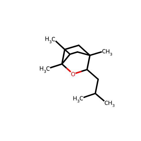 CC(C)CC1OC2(C)CCC1(C)CC2C